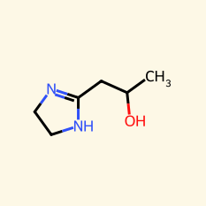 CC(O)CC1=NCCN1